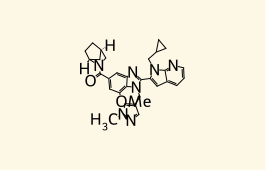 COc1cc(C(=O)N2C[C@@H]3CC[C@@H]2C3)cc2nc(-c3cc4cccnc4n3CC3CC3)n(Cc3cnn(C)c3)c12